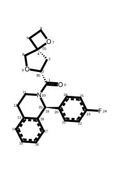 O=C([C@H]1C[C@@]2(CCO2)CO1)N1CCc2ccccc2[C@@H]1c1ccc(F)cc1